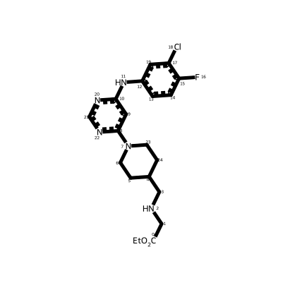 CCOC(=O)CNCC1CCN(c2cc(Nc3ccc(F)c(Cl)c3)ncn2)CC1